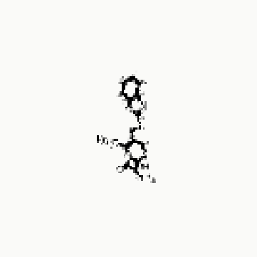 NC1C(=O)N2C(C(=O)O)=C(CSc3nc4ccccc4o3)CS[C@H]12